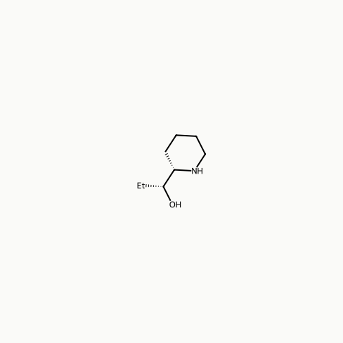 CC[C@@H](O)[C@@H]1CCCCN1